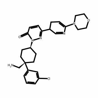 NC[C@]1(c2cccc(Cl)c2)CC[C@H](n2nc(C3C=NC(N4CCOCC4)=CC3)ccc2=O)CC1